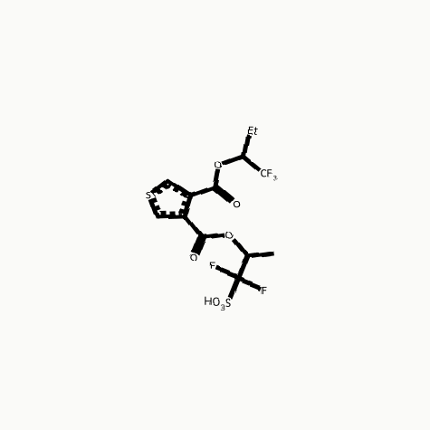 CCC(OC(=O)c1cscc1C(=O)OC(C)C(F)(F)S(=O)(=O)O)C(F)(F)F